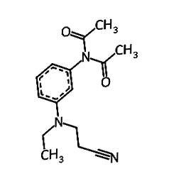 CCN(CCC#N)c1cccc(N(C(C)=O)C(C)=O)c1